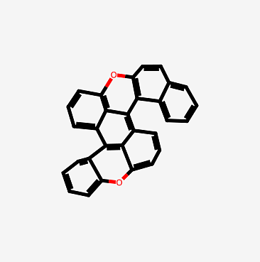 c1ccc2c(c1)ccc1oc3cccc4c3c(c3cccc5oc6ccccc6c4c53)c12